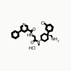 CN(C(=O)CNC(=O)c1cncc(-c2ccccc2)c1)[C@H]1CC[C@@](CN)(c2cccc(Cl)c2)CC1.Cl